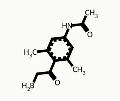 BCC(=O)c1c(C)cc(NC(C)=O)cc1C